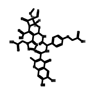 CO[C@@]1(C=S)C(=O)N2C(C(=O)O)=C(c3nnnn3CC(=O)O)C(NC(=O)C(NC(=O)c3c(C)oc4cc(O)c(O)cc4c3=O)c3ccc(OCC(=O)O)cc3)S[C@H]21